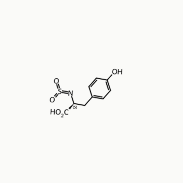 O=C(O)[C@H](Cc1ccc(O)cc1)N=S(=O)=O